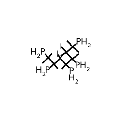 CC(C)(P)C(C)(P)C(C)(I)C(C)(P)C(C)(P)C(C)(I)C(C)(C)P